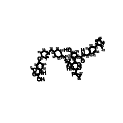 COc1cc(OC2CCN(CC3CCC(CSC(C)(C)C(NC(=O)C4(F)CC4)C(=O)N4C[C@H](O)C[C@H]4C(=O)NCc4ccc(-c5scnc5C)cc4)CC3)CC2)ccc1NC(=O)O